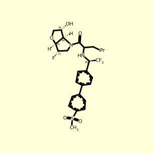 CC(C)CC(N[C@H](c1ccc(-c2ccc(S(C)(=O)=O)cc2)cc1)C(F)(F)F)C(=O)N1C[C@H](F)[C@H]2OC[C@H](O)[C@H]21